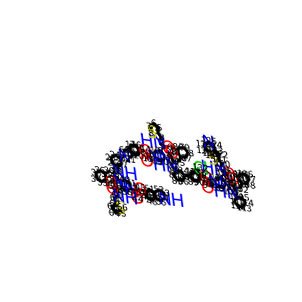 O=C(NCc1cccs1)[C@@H]1CN(C(=O)Oc2ccc3c(c2)CN(C2CCCC(N[C@H](CC4CCCCC4)C(=O)N4CCN(C(=O)Oc5ccc6c(c5)CCNC6)C[C@H]4C(=O)NCc4cccs4)C2)C3)CCN1C(=O)[C@@H](CC1CCCCC1)NC1CCCC(c2ccc(OC(=O)N3CCN(C(=O)[C@@H](CC4CCCCC4)NC4CCCCC4)[C@H](C(=O)NCc4cc5cnccc5s4)C3)c(Cl)c2)C1